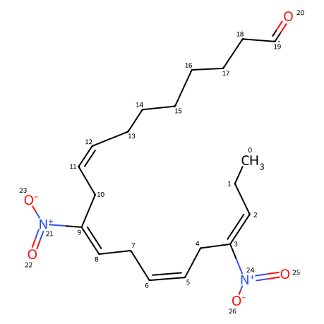 CC/C=C(\C/C=C\C/C=C(\C/C=C\CCCCCC[C]=O)[N+](=O)[O-])[N+](=O)[O-]